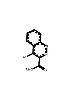 COC(=O)c1nnc2ccccc2c1C(C)=O